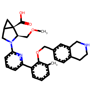 COC[C@H]1N(c2cccc(-c3cccc(C)c3OCc3ccc4c(c3)CNCC4)n2)CC2C[C@@]21C(=O)O